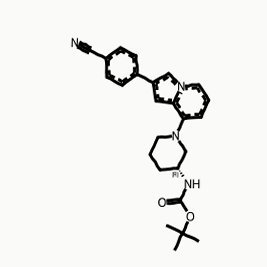 CC(C)(C)OC(=O)N[C@@H]1CCCN(c2cccn3cc(-c4ccc(C#N)cc4)cc23)C1